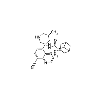 C[C@@H]1CNC[C@](NC(=O)CC2C3CC2CN(C)C3)(c2ccc(C#N)c3nccnc23)C1